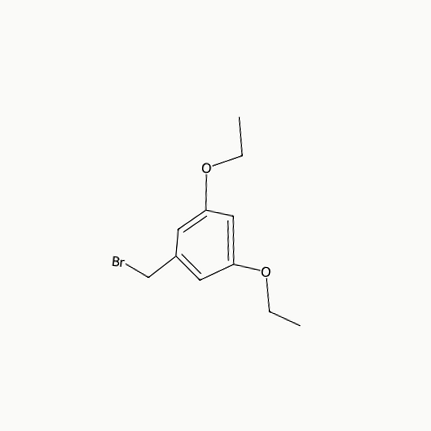 CCOc1cc(CBr)cc(OCC)c1